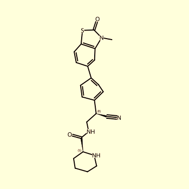 Cn1c(=O)sc2ccc(-c3ccc([C@@H](C#N)CNC(=O)[C@@H]4CCCCN4)cc3)cc21